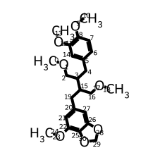 COCC(Cc1ccc(OC)c(OC)c1)C(COC)Cc1cc(OC)c2c(c1)OCO2